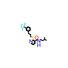 CC(C)CCNC(=O)c1cccnc1SCCCc1cccc(C(F)(F)F)c1